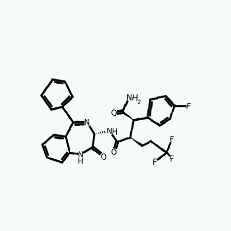 NC(=O)[C@@H](c1ccc(F)cc1)[C@@H](CCC(F)(F)F)C(=O)N[C@H]1N=C(c2ccccc2)c2ccccc2NC1=O